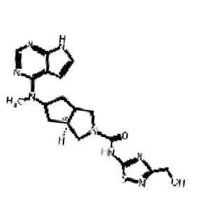 CN(c1ncnc2[nH]ccc12)C1CC2CN(C(=O)Nc3nc(CO)ns3)C[C@H]2C1